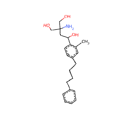 Cc1cc(CCCCc2ccccc2)ccc1C(O)CC(N)(CO)CO